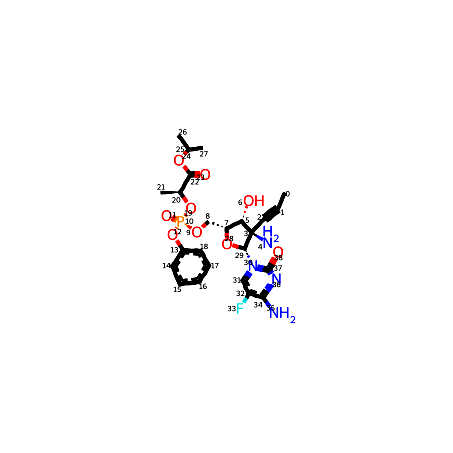 CC#C[C@@]1(N)[C@@H](O)[C@@H](CO[P@](=O)(Oc2ccccc2)O[C@@H](C)C(=O)OC(C)C)O[C@H]1n1cc(F)c(N)nc1=O